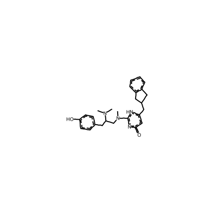 CN(CC(Cc1ccc(O)cc1)N(C)C)c1nc(=O)cc(CC2Cc3ccccc3C2)[nH]1